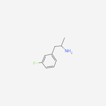 CC(N)Cc1cccc(F)c1